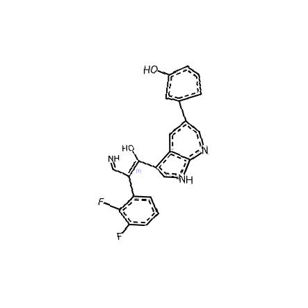 N=C/C(=C(\O)c1c[nH]c2ncc(-c3cccc(O)c3)cc12)c1cccc(F)c1F